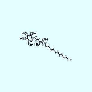 CCCCCCCCCCCCCC[C@@H](O)[C@@H](O)CCC[C@H]1O[C@H](CO)[C@H](O)[C@H](O)[C@H]1O